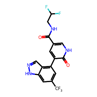 O=C(NCC(F)F)c1c[nH]c(=O)c(-c2cc(C(F)(F)F)cc3[nH]ncc23)c1